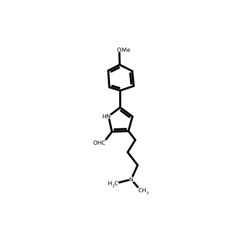 COc1ccc(-c2cc(CCCN(C)C)c(C=O)[nH]2)cc1